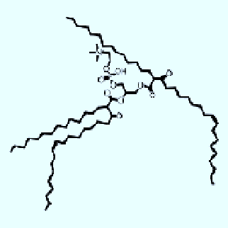 CCCCCCCC/C=C\CCCCCCCC(=O)C(CCCCCCCCCCCCCC)C(=O)OCC(COP(=O)(O)OCC[N+](C)(C)C)OC(=O)C(CCCCCCCCCCCCCC)C(=O)CCCCCCC/C=C\CCCCCCCC